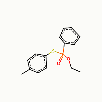 CCOP(=O)(Sc1ccc(C)cc1)c1ccccc1